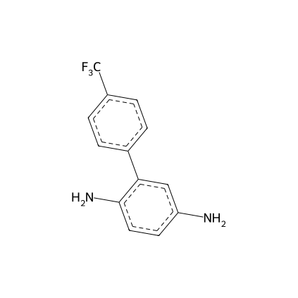 Nc1ccc(N)c(-c2ccc(C(F)(F)F)cc2)c1